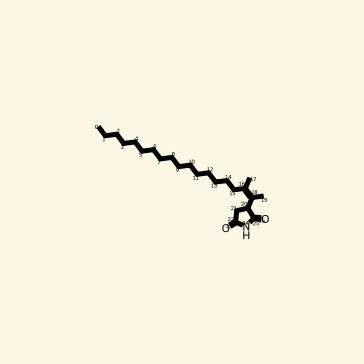 CCCCCCCCCCCCCCCCC(C)=C(C)C1CC(=O)NC1=O